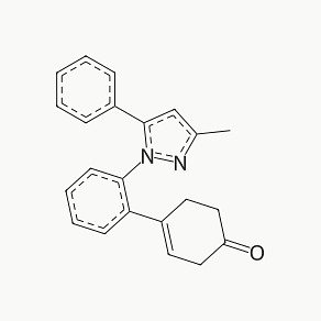 Cc1cc(-c2ccccc2)n(-c2ccccc2C2=CCC(=O)CC2)n1